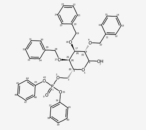 O=P(OC[C@H]1OC(O)[C@@H](OCc2ccccc2)[C@H](OCc2ccccc2)[C@@H]1OCc1ccccc1)(Oc1ccccc1)Oc1ccccc1